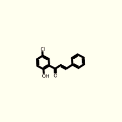 O=C(C=Cc1ccccc1)c1cc(Cl)ccc1O